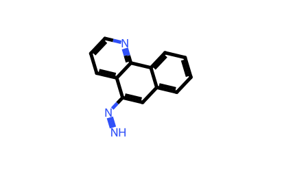 N=Nc1cc2ccccc2c2ncccc12